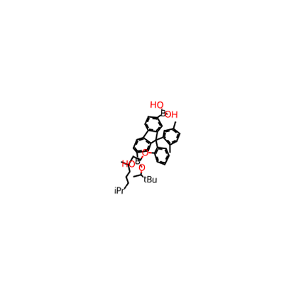 Cc1ccc(C)c(C2(c3ccccc3OCCC(C)CCCC(C)C)c3cc(B(O)O)ccc3-c3ccc(B(O)OC(C)C(C)(C)C)cc32)c1